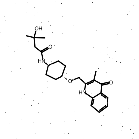 Cc1c(CO[C@H]2CC[C@H](NC(=O)CC(C)(C)O)CC2)[nH]c2ccccc2c1=O